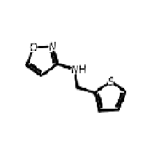 c1csc(CNc2ccon2)c1